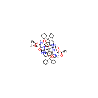 CC(=O)OC[C@@]1(OC(=O)C(C)C)C(=O)N2[C@H]3Nc4ccccc4[C@@]3([C@]34C[C@]5(SSC(c6ccccc6)(c6ccccc6)c6ccccc6)C(=O)N(C)[C@](COC(C)=O)(OC(=O)C(C)C)C(=O)N5[C@H]3Nc3ccccc34)CC2(SSC(c2ccccc2)(c2ccccc2)c2ccccc2)C(=O)N1C